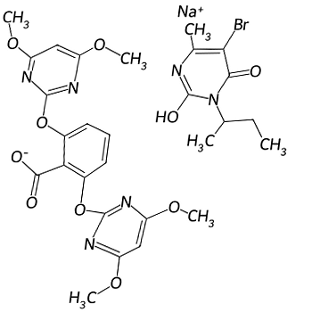 CCC(C)n1c(O)nc(C)c(Br)c1=O.COc1cc(OC)nc(Oc2cccc(Oc3nc(OC)cc(OC)n3)c2C(=O)[O-])n1.[Na+]